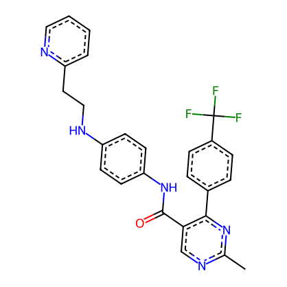 Cc1ncc(C(=O)Nc2ccc(NCCc3ccccn3)cc2)c(-c2ccc(C(F)(F)F)cc2)n1